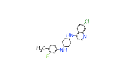 Cc1ccc(N[C@H]2CC[C@@H](Nc3ccnc4cc(Cl)ccc34)CC2)cc1F